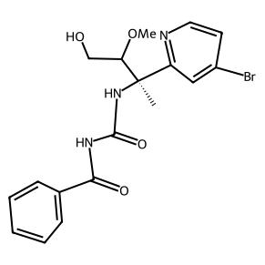 COC(CO)[C@](C)(NC(=O)NC(=O)c1ccccc1)c1cc(Br)ccn1